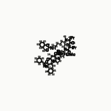 CC[C@H](C)[C@@H]([C@@H](CC(=O)N1CCC[C@H]1[C@H](OC)[C@@H](C)C(=O)N[C@@H](Cc1ccccc1)c1nnc(-c2ccccc2)o1)OC)N(C)C(=O)[C@@H](NC(=O)[C@H](C(C)C)N(C)CCCCCCNC(=O)OCc1ccccc1)C(C)C